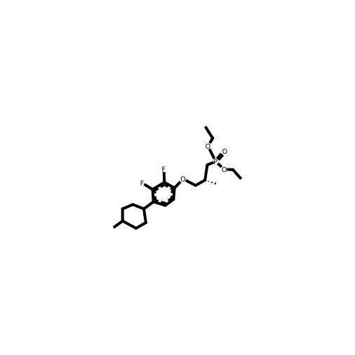 CCOP(=O)(C[C@H](C)COc1ccc(C2CCC(C)CC2)c(F)c1F)OCC